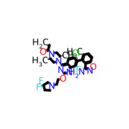 C=CC(=O)N1C[C@H](C)N(c2nc(OCCN3CCC(F)(F)C3)nc3c(F)c(-c4c(C)ccc5onc(N)c45)c(Cl)cc23)C[C@H]1C